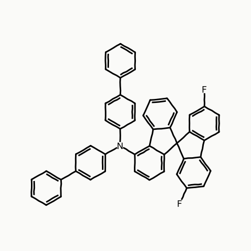 Fc1ccc2c(c1)C1(c3cc(F)ccc3-2)c2ccccc2-c2c(N(c3ccc(-c4ccccc4)cc3)c3ccc(-c4ccccc4)cc3)cccc21